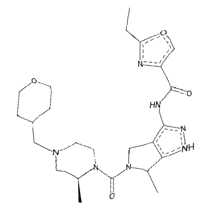 CCc1nc(C(=O)Nc2n[nH]c3c2CN(C(=O)N2CCN(CC4CCOCC4)C[C@@H]2C)C3C)co1